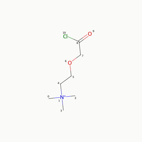 C[N+](C)(C)CCOCC(=O)Cl